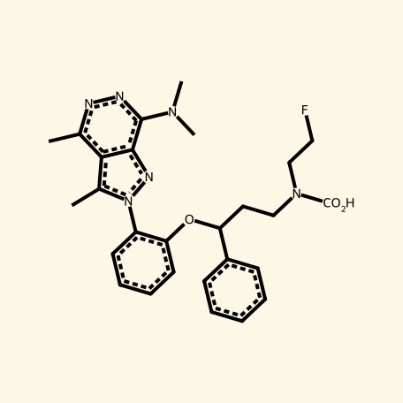 Cc1nnc(N(C)C)c2nn(-c3ccccc3OC(CCN(CCF)C(=O)O)c3ccccc3)c(C)c12